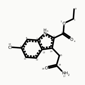 CCOC(=O)c1[nH]c2cc(Cl)ccc2c1CC(N)=O